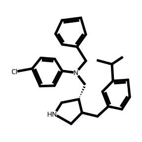 CC(C)c1cccc(CC2CNC[C@@H]2CN(Cc2ccccc2)c2ccc(Cl)cc2)c1